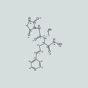 CC(C)C[C@@H](C(=O)NN1C(=O)CNC1=O)C(C/C=C/c1ccccc1)C(=O)NO